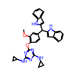 COc1cc(C(c2cc3ccccc3[nH]2)c2cc3ccccc3[nH]2)ccc1Oc1nc(NC2CC2)nc(NC2CC2)n1